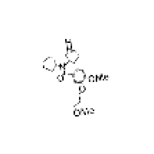 COCCCOc1cc(C(=O)N(C2CCCCC2)[C@@H]2CCCNC2)ccc1OC